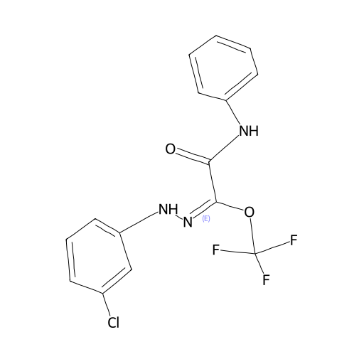 O=C(Nc1ccccc1)/C(=N\Nc1cccc(Cl)c1)OC(F)(F)F